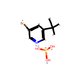 CC(C)(C)c1cncc(Br)c1.OP(O)O